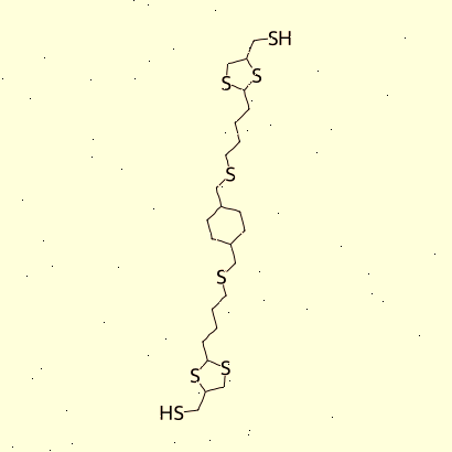 SCC1CSC(CCCCSCC2CCC(CSCCCCC3SCC(CS)S3)CC2)S1